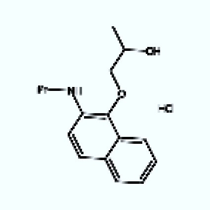 CC(O)COc1c(NC(C)C)ccc2ccccc12.Cl